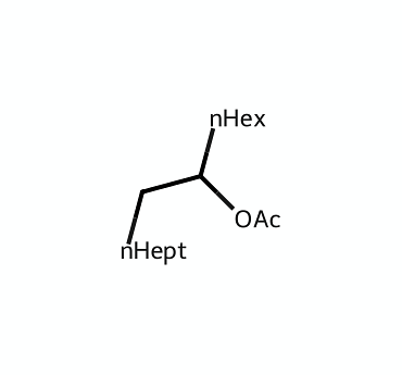 CCCCCCCCC(CCCCCC)OC(C)=O